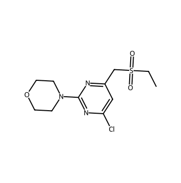 CCS(=O)(=O)Cc1cc(Cl)nc(N2CCOCC2)n1